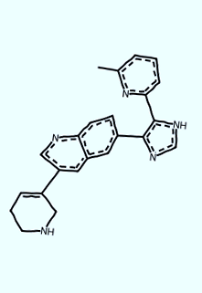 Cc1cccc(-c2[nH]cnc2-c2ccc3ncc(C4=CCCNC4)cc3c2)n1